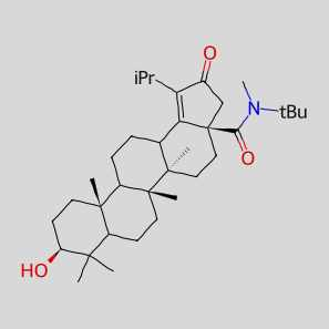 CC(C)C1=C2C3CCC4[C@@]5(C)CC[C@H](O)C(C)(C)C5CC[C@@]4(C)[C@]3(C)CC[C@@]2(C(=O)N(C)C(C)(C)C)CC1=O